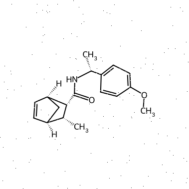 COc1ccc([C@@H](C)NC(=O)[C@@H]2[C@H](C)[C@H]3C=C[C@@H]2C3)cc1